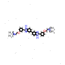 CN(C)CCOc1cccc(-c2nc3cc(-c4ccc5[nH]c(-c6cccc(OCCN(C)C)c6)nc5c4)ccc3[nH]2)c1